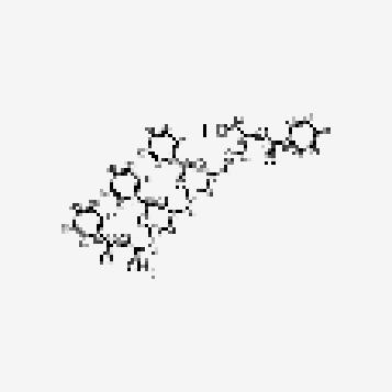 CC(COCC(COCC(COCC(CO)OC(=O)c1ccccc1)OC(=O)c1ccccc1)OC(=O)c1ccccc1)OC(=O)c1ccccc1